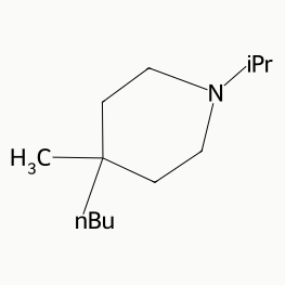 CCCCC1(C)CCN(C(C)C)CC1